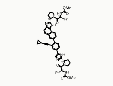 COC(=O)N[C@H](C(=O)N1CCC[C@H]1c1ncc(-c2ccc(-c3ccc4c(ccc5nc([C@@H]6CCCN6C(=O)[C@@H](NC(=O)OC)C(C)C)[nH]c54)c3)c(C#CC3CC3)c2)[nH]1)C(C)C